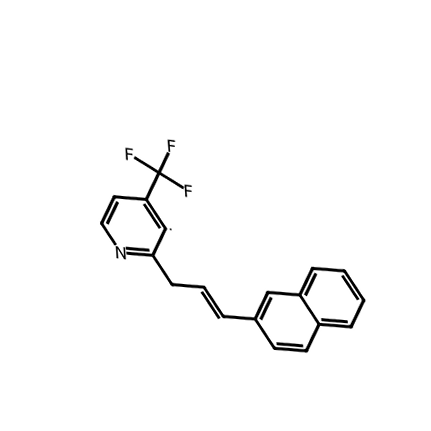 FC(F)(F)c1[c]c(CC=Cc2ccc3ccccc3c2)ncc1